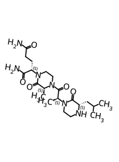 CC(C)C[C@@H]1NCCN([C@@H](C)C(=O)N2CCN([C@@H](CCC(N)=O)C(N)=O)C(=O)[C@@H]2C)C1=O